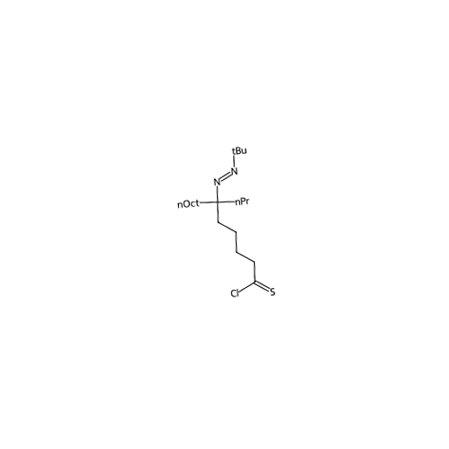 CCCCCCCCC(CCC)(CCCCC(=S)Cl)/N=N/C(C)(C)C